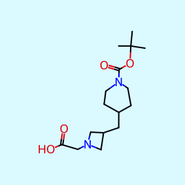 CC(C)(C)OC(=O)N1CCC(CC2CN(CC(=O)O)C2)CC1